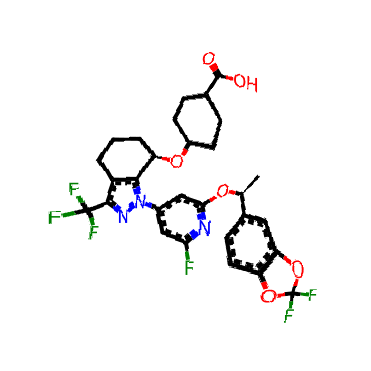 C[C@H](Oc1cc(-n2nc(C(F)(F)F)c3c2[C@H](OC2CCC(C(=O)O)CC2)CCC3)cc(F)n1)c1ccc2c(c1)OC(F)(F)O2